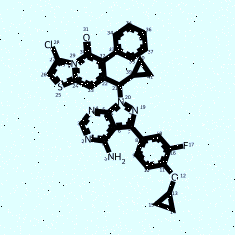 Nc1ncnc2c1c(-c1ccc(OC3CC3)c(F)c1)nn2C(c1cc2scc(Cl)n2c(=O)c1-c1ccccc1)C1CC1